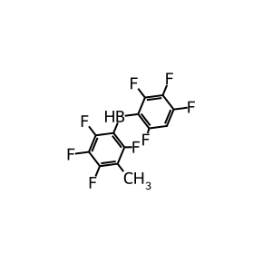 Cc1c(F)c(F)c(F)c(Bc2c(F)cc(F)c(F)c2F)c1F